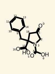 O=C1CN(C(=O)O)C(Cc2ccccc2)(C(=O)O)C1